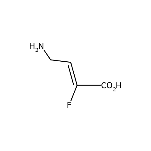 NCC=C(F)C(=O)O